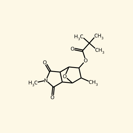 CC1C(OC(=O)C(C)(C)C)C2OC1C1C(=O)N(C)C(=O)C21